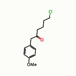 COc1ccc(CC(=O)CCCCCl)cc1